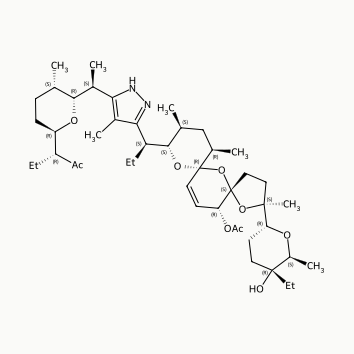 CC[C@@H](C(C)=O)[C@H]1CC[C@H](C)[C@H]([C@@H](C)c2[nH]nc([C@H](CC)[C@H]3O[C@]4(C=C[C@@H](OC(C)=O)[C@]5(CC[C@@](C)([C@H]6CC[C@](O)(CC)[C@H](C)O6)O5)O4)[C@H](C)C[C@@H]3C)c2C)O1